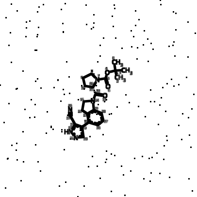 CC(C)(C)OC(=O)N1CCC[C@H]1C(=O)N1CCc2c(-c3cn[nH]c3C#N)cccc21